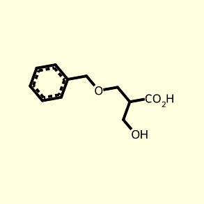 O=C(O)C(CO)COCc1ccccc1